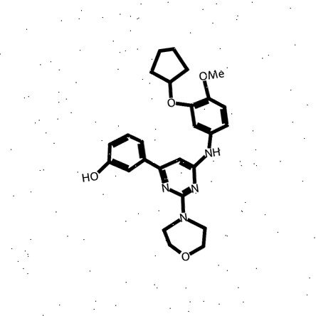 COc1ccc(Nc2cc(-c3cccc(O)c3)nc(N3CCOCC3)n2)cc1OC1CCCC1